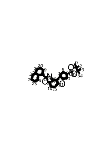 CC1(C)OB(c2ccc3c(c2)oc2ccc4oc(-c5cccc6ccccc56)nc4c23)OC1(C)C